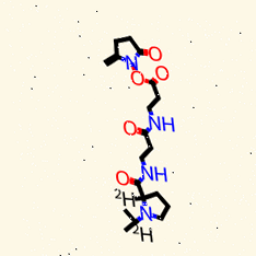 [2H]C(C)(C)N1CCCC1([2H])C(=O)NCCC(=O)NCCC(=O)ON1C(=C)CCC1=O